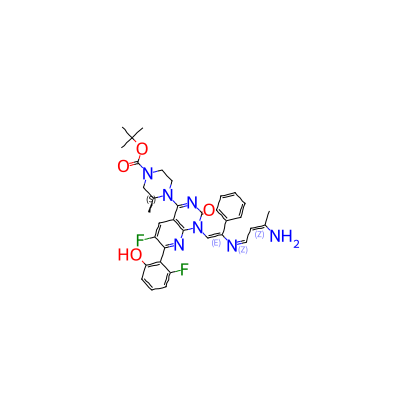 C/C(N)=C/C=N\C(=C\n1c(=O)nc(N2CCN(C(=O)OC(C)(C)C)C[C@@H]2C)c2cc(F)c(-c3c(O)cccc3F)nc21)c1ccccc1